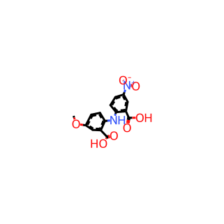 COc1ccc(Nc2ccc([N+](=O)[O-])cc2C(=O)O)c(C(=O)O)c1